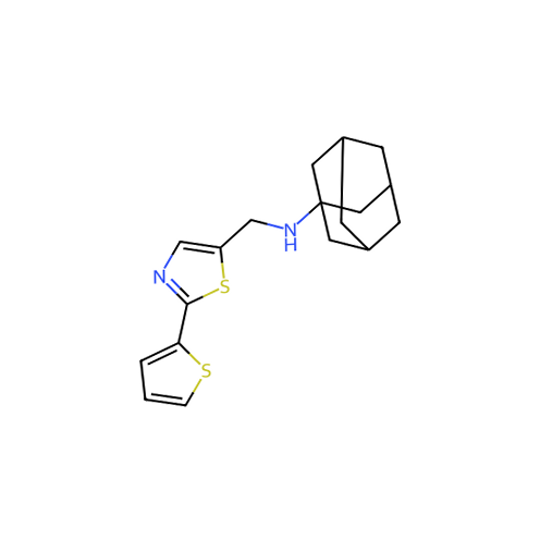 c1csc(-c2ncc(CNC34CC5CC(CC(C5)C3)C4)s2)c1